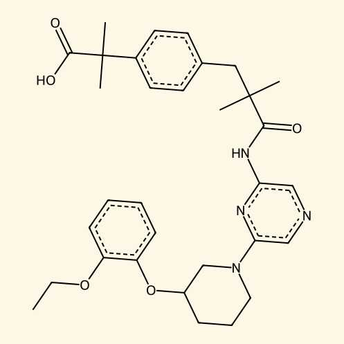 CCOc1ccccc1OC1CCCN(c2cncc(NC(=O)C(C)(C)Cc3ccc(C(C)(C)C(=O)O)cc3)n2)C1